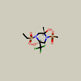 CCS(=O)(=O)N1C[C@](C)(O)N(S(C)(=O)=O)C[C@@]1(O)C(F)(F)F